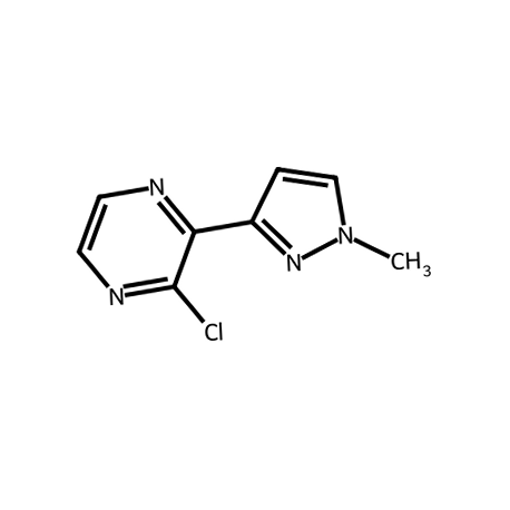 Cn1ccc(-c2nccnc2Cl)n1